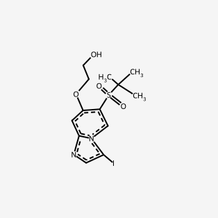 CC(C)(C)S(=O)(=O)c1cn2c(I)cnc2cc1OCCO